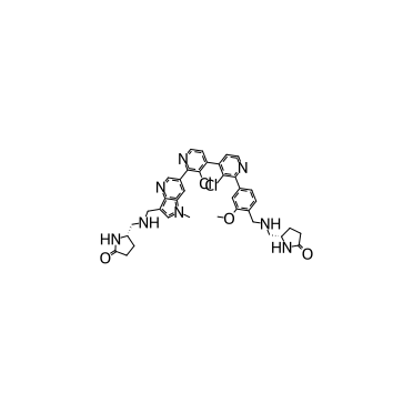 COc1cc(-c2nccc(-c3ccnc(-c4cnc5c(CNC[C@@H]6CCC(=O)N6)cn(C)c5c4)c3Cl)c2Cl)ccc1CNC[C@@H]1CCC(=O)N1